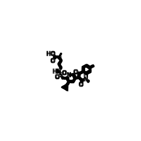 CNC(=O)c1c(-c2ccc(C)cc2)oc2nc(CS(=O)(=O)NCCC[C@H](C)C(=O)O)c(C3CC3)cc12